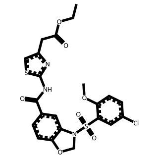 CCOC(=O)Cc1csc(NC(=O)c2ccc3c(c2)N(S(=O)(=O)c2cc(Cl)ccc2OC)CO3)n1